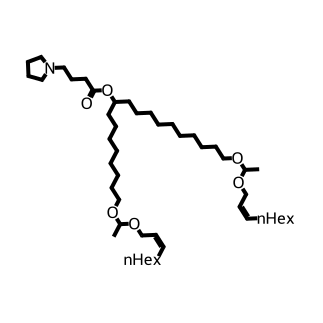 CCCCCC/C=C\COC(C)OCCCCCCCCCCC(CCCCCCCCOC(C)OC/C=C\CCCCCC)OC(=O)CCCN1CCCC1